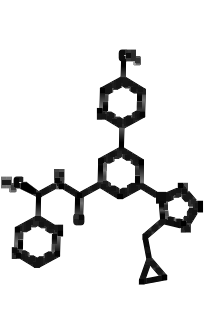 Cc1ccc(-c2cc(C(=O)N[C@H](C)c3cnccn3)cc(-n3nnnc3CC3CC3)c2)nc1